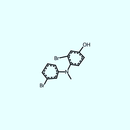 CN(c1cccc(Br)c1)c1ccc(O)cc1Br